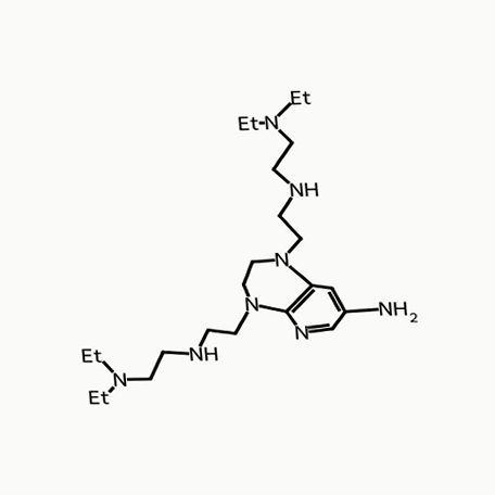 CCN(CC)CCNCCN1CCN(CCNCCN(CC)CC)c2ncc(N)cc21